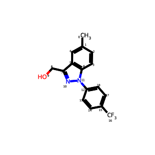 Cc1ccc2c(c1)c(CO)nn2-c1ccc(C(F)(F)F)cc1